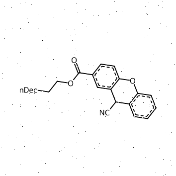 CCCCCCCCCCCCOC(=O)c1ccc2c(c1)C(C#N)c1ccccc1O2